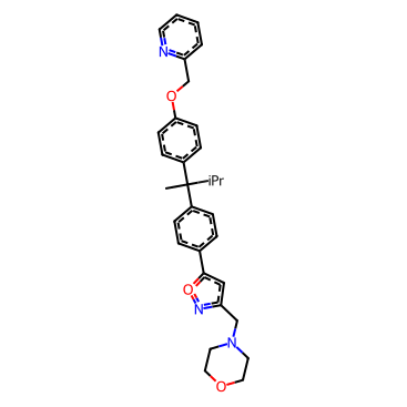 CC(C)C(C)(c1ccc(OCc2ccccn2)cc1)c1ccc(-c2cc(CN3CCOCC3)no2)cc1